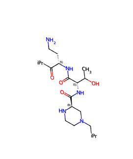 CC(C)CN1CCN[C@@H](C(=O)N[C@H](C(=O)N[C@@H](CCN)C(=O)C(C)C)C(C)O)C1